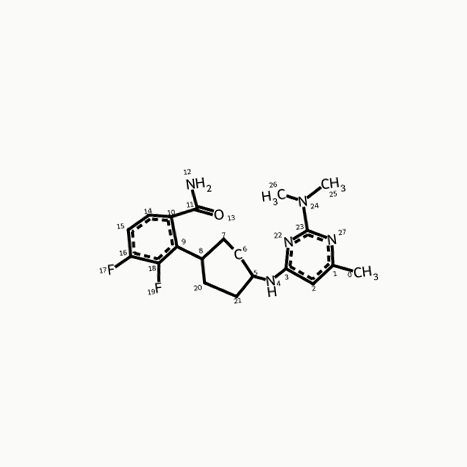 Cc1cc(NC2CCC(c3c(C(N)=O)ccc(F)c3F)CC2)nc(N(C)C)n1